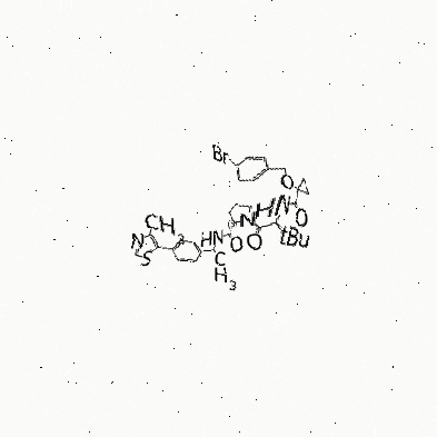 Cc1ncsc1-c1ccc(C(C)NC(=O)[C@@H]2CCCN2C(=O)C(NC(=O)C2(OCc3ccc(Br)cc3)CC2)C(C)(C)C)cc1